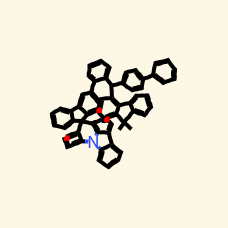 CC1(C)c2ccccc2-c2c(C(c3ccc(-c4ccccc4)cc3)c3ccccc3-c3ccc4c(c3)-c3ccccc3C43c4ccccc4-n4c5ccccc5c5cccc3c54)cccc21